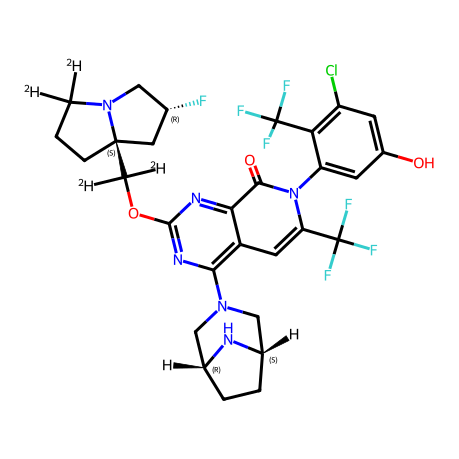 [2H]C1([2H])CC[C@@]2(C([2H])([2H])Oc3nc(N4C[C@H]5CC[C@@H](C4)N5)c4cc(C(F)(F)F)n(-c5cc(O)cc(Cl)c5C(F)(F)F)c(=O)c4n3)C[C@@H](F)CN12